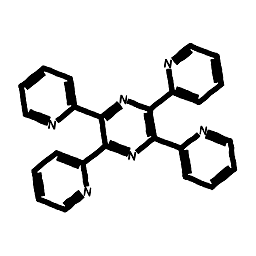 c1ccc(-c2nc(-c3ccccn3)c(-c3ccccn3)nc2-c2ccccn2)nc1